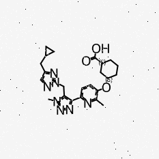 Cc1nc(-c2nnn(C)c2Cn2ncc(CC3CC3)n2)ccc1O[C@H]1CCC[C@H](C(=O)O)C1